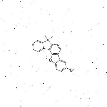 CC1(C)c2ccccc2-c2c1ccc1c2oc2ccc(Br)cc21